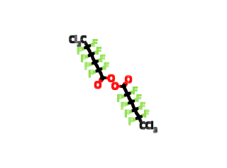 O=C(OOC(=O)C(F)(F)C(F)(F)C(F)(F)C(F)(F)C(Cl)(Cl)Cl)C(F)(F)C(F)(F)C(F)(F)C(F)(F)C(Cl)(Cl)Cl